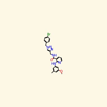 COc1cc(C)cc(Nc2ncccc2C(=O)NCc2cn(Cc3ccc(Br)cc3)nn2)c1